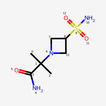 CC(C)(C(N)=O)N1CC(S(N)(=O)=O)C1